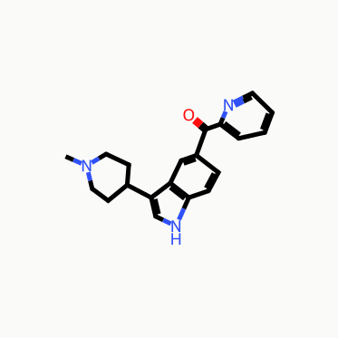 CN1CCC(c2c[nH]c3ccc(C(=O)c4ccccn4)cc23)CC1